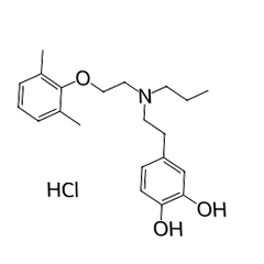 CCCN(CCOc1c(C)cccc1C)CCc1ccc(O)c(O)c1.Cl